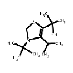 CC(C)C1=C(C(C)(C)C)SCN1C(C)(C)C